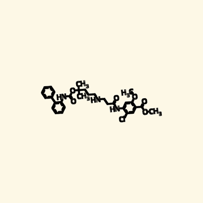 COC(=O)c1cc(Cl)c(NC(=O)CCNCCCC(C)(C)OC(=O)Nc2ccccc2-c2ccccc2)cc1OC